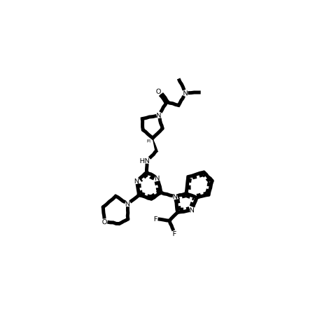 CN(C)CC(=O)N1CC[C@H](CNc2nc(N3CCOCC3)cc(-n3c(C(F)F)nc4ccccc43)n2)C1